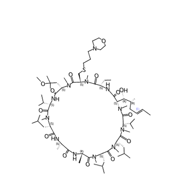 C/C=C/C[C@@H](C)[C@@H](O)[C@H]1C(=O)N[C@@H](CC)C(=O)N(C)[C@H](CSCCCN2CCOCC2)C(=O)N(C)[C@@H](CC(C)(C)OC)C(=O)N[C@@H](C(C)C)C(=O)N(C)[C@@H](CC(C)C)C(=O)N[C@@H](C)C(=O)N[C@H](C)C(=O)N(C)[C@@H](CC(C)C)C(=O)N(C)[C@@H](CC(C)C)C(=O)N(C)[C@@H](C(C)C)C(=O)N1C